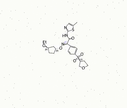 CCO[C@@H]1CC[C@@H](O/N=C(/C(=O)Nc2ncc(C)s2)c2ccc(S(=O)(=O)[C@H]3CCOC3)cc2)C1